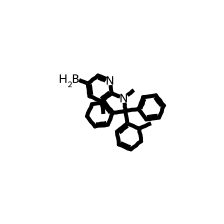 Bc1cnc(N(C)C(C2=CCCC=C2)(C2=CC=CCC2C)c2ccccc2)c(C)c1